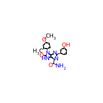 COc1ccc(-n2c(=O)[nH]c3c(C(N)=O)nc(-c4cccc(O)c4)nc32)c(C)c1